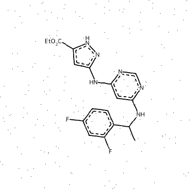 CCOC(=O)c1cc(Nc2cc(NC(C)c3ccc(F)cc3F)ncn2)n[nH]1